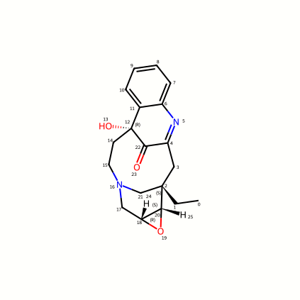 CC[C@@]12CC3=Nc4ccccc4[C@](O)(CCN(C[C@H]4O[C@H]41)C2)C3=O